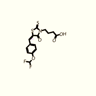 O=C(O)CCCN1C(=O)/C(=C\c2ccc(OC(F)F)cc2)SC1=S